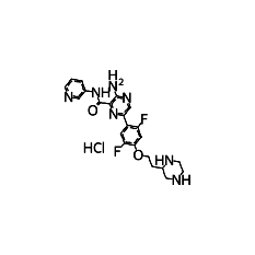 Cl.Nc1ncc(-c2cc(F)c(OCCC3CNCCN3)cc2F)nc1C(=O)Nc1cccnc1